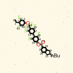 C=Cc1c(F)cc(OC(F)(F)c2c(F)cc(-c3c(F)cc(OC(=O)c4ccc5c(c4)CC(CCCC)C5)cc3F)cc2F)cc1F